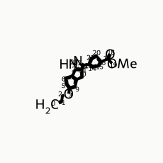 C=CCOc1ccc2c(c1)Cc1c(-c3ccc(C(=O)OC)cc3)n[nH]c1-2